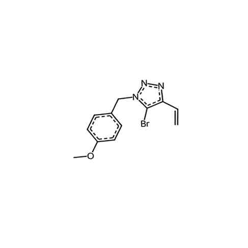 C=Cc1nnn(Cc2ccc(OC)cc2)c1Br